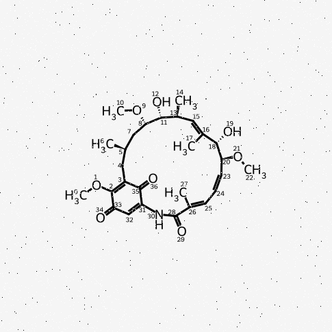 COC1=C2C[C@@H](C)C[C@H](OC)[C@H](O)[C@@H](C)/C=C(\C)[C@H](O)[C@@H](OC)/C=C\C=C(/C)C(=O)NC(=CC1=O)C2=O